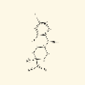 O=C(c1ccc(F)cc1F)N1CCC(O)(C(=O)O)CC1